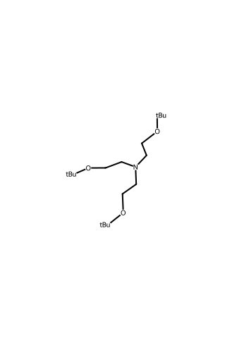 CC(C)(C)OCCN(CCOC(C)(C)C)CCOC(C)(C)C